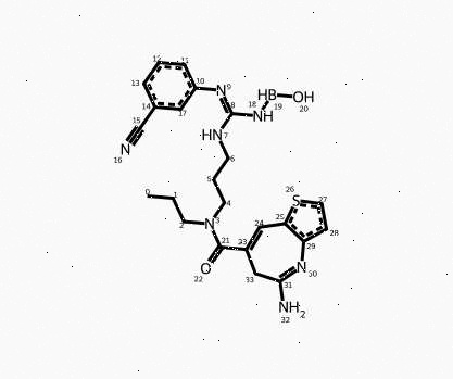 CCCN(CCCN/C(=N\c1cccc(C#N)c1)NBO)C(=O)C1=Cc2sccc2N=C(N)C1